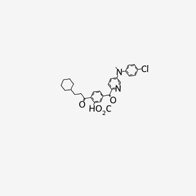 CN(c1ccc(Cl)cc1)c1ccc(C(=O)c2ccc(C(=O)CCC3CCCCC3)c(C(=O)O)c2)nc1